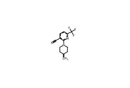 C=C1CCN(c2nc(C(F)(F)F)ccc2C#N)CC1